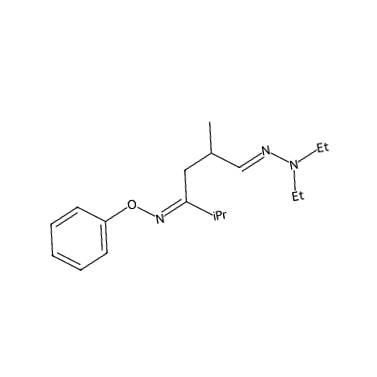 CCN(CC)/N=C/C(C)C/C(=N\Oc1ccccc1)C(C)C